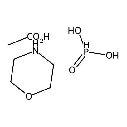 C1COCCN1.CC(=O)O.O=[PH](O)O